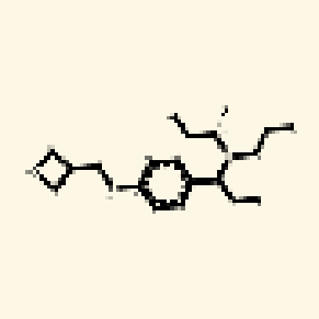 CCCN(C(CC)c1ccc(OCC2COC2)cc1)[C@@H](C)CC